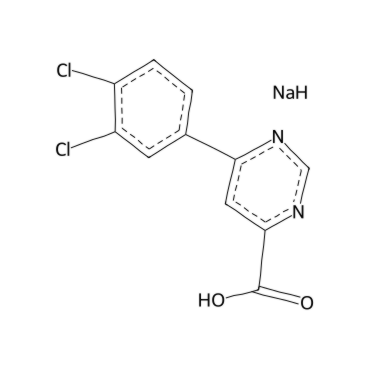 O=C(O)c1cc(-c2ccc(Cl)c(Cl)c2)ncn1.[NaH]